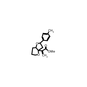 C=C(C(=O)OC)C12CC(c3ccc(C)cc3)OC1CCCO2